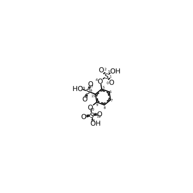 O=S(=O)(O)Oc1cccc(OS(=O)(=O)O)c1S(=O)(=O)O